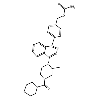 CC1CN(C(=O)C2CCCCC2)CCN1c1nnc(-c2ccc(COC(N)=O)cc2)c2ccccc12